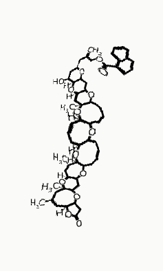 C=C(COC(=O)c1cccc2ccccc12)C[C@@H]1C[C@H](O)[C@@H]2O[C@@H]3C[C@]4(C)O[C@@H]5/C=C\C[C@@H]6O[C@H]7C(C/C=C\CC6OC5CCCC4OC3CC2O1)OC1CC2OC3CC(=O)O[C@H]3C[C@@H](C)C[C@@]2(C)O[C@H]1C[C@@H]7C